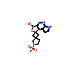 CS(=O)(=O)N1CCC2(C1)CC1(C2)OB(O)c2cnc3[nH]ccc3c21